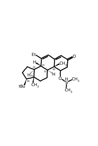 CCC1=CC2=CC(=O)CC(O[SiH](C)C)[C@]2(C)[C@H]2CC[C@]3(C)[C@@H](C(C)(C)C)CC[C@H]3[C@H]12